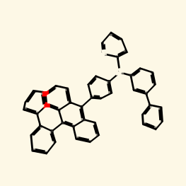 c1ccc(-c2cccc(N(c3ccc(-c4c5ccccc5c(-c5ccccc5-c5ccccc5)c5ccccc45)cc3)c3ccccn3)c2)cc1